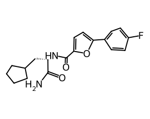 NC(=O)[C@H](CC1CCCC1)NC(=O)c1ccc(-c2ccc(F)cc2)o1